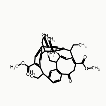 C=C1/C=C2\C=C/C(=O)c3cc(C(=O)OC)c(cc3C1CC)C(CC)c1ccc3c(c1)C(CC)/C(C)=C/C(=C(/C(=O)OC)CC3=O)C2CC